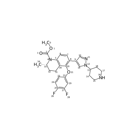 COC(=O)N1c2ccc(-c3cnn(C4CCNCC4)c3)c(Oc3ccc(F)c(F)c3)c2CC[C@@H]1C